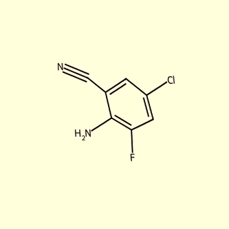 N#Cc1cc(Cl)cc(F)c1N